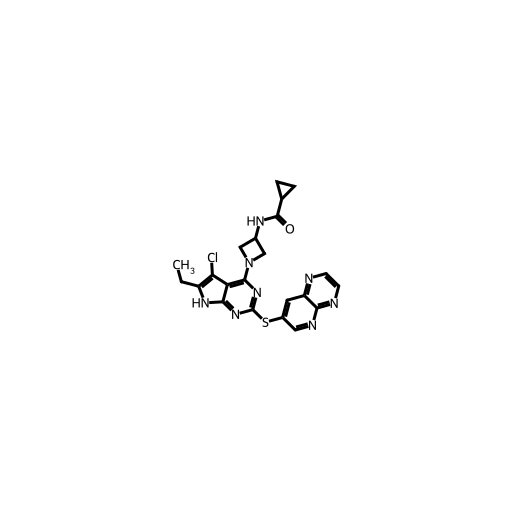 CCc1[nH]c2nc(Sc3cnc4nccnc4c3)nc(N3CC(NC(=O)C4CC4)C3)c2c1Cl